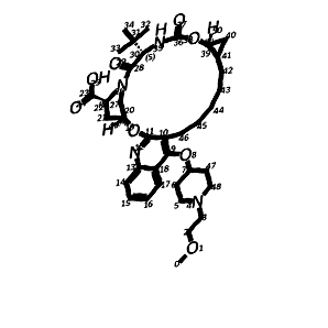 COCCN1CCC(Oc2c3c(nc4ccccc24)O[C@@H]2C[C@@H](C(=O)O)N(C2)C(=O)[C@H](C(C)(C)C)NC(=O)O[C@@H]2CC2CCCCC3)CC1